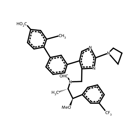 CO[C@H](c1cccc(C(F)(F)F)c1)[C@H](C)N(C=O)Cc1nc(N2CCC2)ncc1-c1cccc(-c2ccc(C(=O)O)cc2C)c1